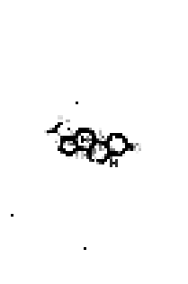 CC(O)[C@H]1CC[C@H]2[C@@H]3CC[C@@H]4CC(=O)CC[C@@H]4[C@H]3CC[C@]12C